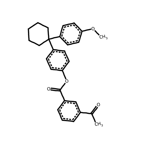 COc1ccc(C2(c3ccc(OC(=O)c4cccc(C(C)=O)c4)cc3)CCCCC2)cc1